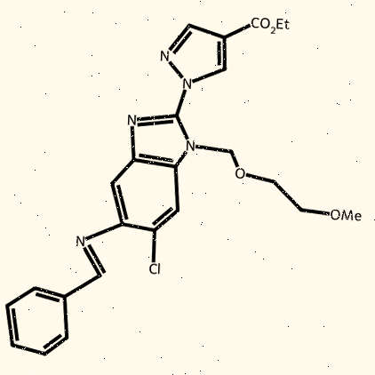 CCOC(=O)c1cnn(-c2nc3cc(/N=C/c4ccccc4)c(Cl)cc3n2COCCOC)c1